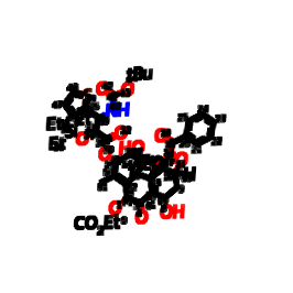 CCOC(=O)O[C@H]1C(=O)[C@]2(C)[C@@H](O)C[C@H]3OC[C@@]3(OC(C)=O)C23[C@H](OC(=O)c2ccccc2)[C@]2(O)C[C@H](OC(=O)[C@H](O[Si](CC)(CC)CC)[C@@H](NC(=O)OC(C)(C)C)c4cccs4)C(C)=C1[C@]32C